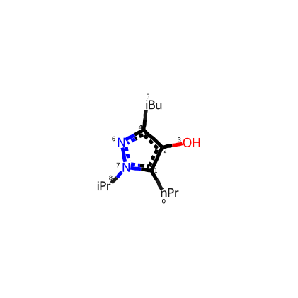 CCCc1c(O)c(C(C)CC)nn1C(C)C